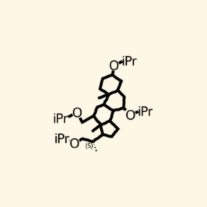 CC(C)OCC1CC2C(C(OC(C)C)CC3CC(OC(C)C)CCC32C)C2CCC([C@H](C)COC(C)C)C12C